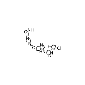 CNC(=O)CCN1CCN(CCOc2ccc3c(Nc4cnnc(-c5cc(Cl)ccc5F)c4)ccnc3c2)CC1